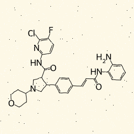 Nc1ccccc1NC(=O)/C=C/c1ccc(C2CN(C3CCOCC3)CC2C(=O)Nc2ccc(F)c(Cl)n2)cc1